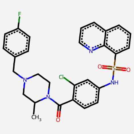 CC1CN(Cc2ccc(F)cc2)CCN1C(=O)c1ccc(NS(=O)(=O)c2cccc3cccnc23)cc1Cl